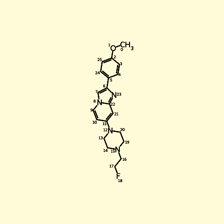 COc1ccc(-c2cn3ccc(N4CCN(CCF)CC4)cc3n2)cc1